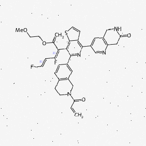 C=CC(=O)N1CCc2ccc(-c3nc(-c4cnc5c(c4)CNC(=O)C5)c4ccsc4c3/C(C(=C)OCCOC)=C(F)/C=C/F)cc2C1